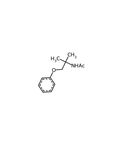 CC(=O)NC(C)(C)COc1ccccc1